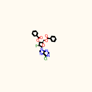 O=C(OC[C@H]1O[C@@H](n2cnc3c(Cl)ncnc32)[C@@H](F)[C@@H]1OC(=O)c1ccccc1)c1ccccc1